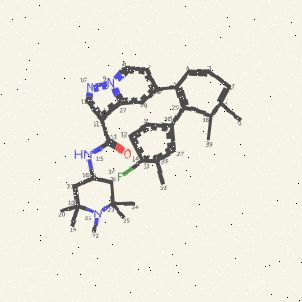 CC1=CC=CC(c2ccn3ncc(C(=O)NC4CC(C)(C)N(C)C(C)(C)C4)c3c2)=C(c2ccc(F)c(C)c2)C1C